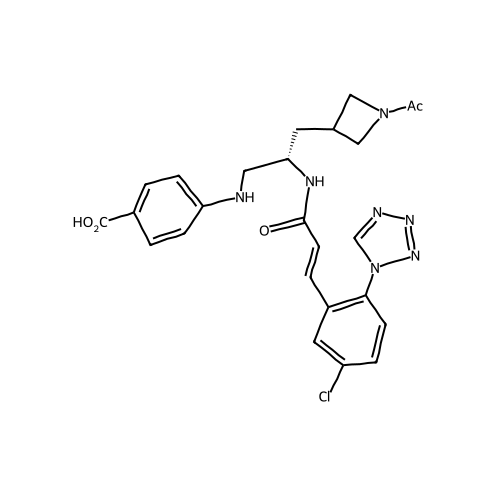 CC(=O)N1CC(C[C@@H](CNc2ccc(C(=O)O)cc2)NC(=O)/C=C/c2cc(Cl)ccc2-n2cnnn2)C1